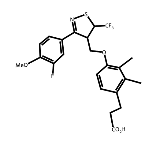 COc1ccc(C2=NSC(C(F)(F)F)C2COc2ccc(CCC(=O)O)c(C)c2C)cc1F